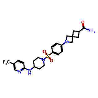 NC(=O)C1CC2(C1)CN(c1ccc(S(=O)(=O)N3CCC(Nc4ccc(C(F)(F)F)cn4)CC3)cc1)C2